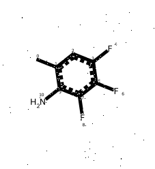 Cc1cc(F)c(F)c(F)c1N